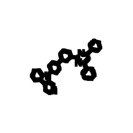 C1=CC(c2nc(-c3ccccc3)cc(-c3ccccc3)n2)CC(C2=CC=C(n3c4ccccc4c4ccncc43)CC2)=C1